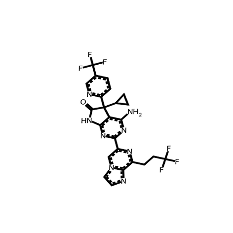 Nc1nc(-c2cn3ccnc3c(CCC(F)(F)F)n2)nc2c1C(c1ccc(C(F)(F)F)cn1)(C1CC1)C(=O)N2